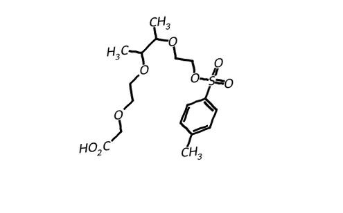 Cc1ccc(S(=O)(=O)OCCOC(C)C(C)OCCOCC(=O)O)cc1